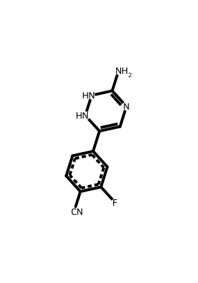 N#Cc1ccc(C2=CN=C(N)NN2)cc1F